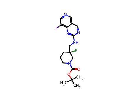 CC(C)(C)OC(=O)N1CCCC(F)(CNc2ncc3cncc(I)c3n2)C1